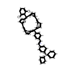 Clc1cccc(Cl)c1-c1c2nc(cc3ccc([nH]3)c(-c3ccc(/C=C/c4ccc(N(c5ccccc5)c5ccccc5)cc4)cc3)c3nc(cc4ccc1[nH]4)C=C3)C=C2